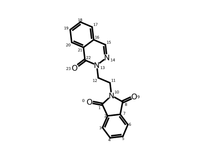 O=C1c2ccccc2C(=O)N1CCn1ncc2ccccc2c1=O